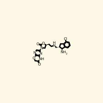 N[C@@H]1c2cccc(Cl)c2C[C@H]1CNCC[C@H]1CN(c2cnc3c(n2)NC(=O)CO3)C(=O)O1